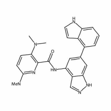 CNc1ccc(N(C)C)c(C(=O)Nc2cc(-c3cccc4[nH]ccc34)cc3[nH]ncc23)n1